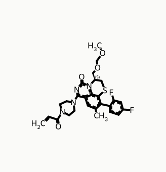 C=CC(=O)N1CCN(c2nc(=O)n3c4c(c(-c5ccc(F)cc5F)c(C)cc24)SC[C@@H]3COCOC)CC1